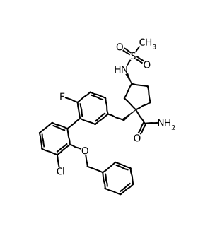 CS(=O)(=O)N[C@H]1CC[C@](Cc2ccc(F)c(-c3cccc(Cl)c3OCc3ccccc3)c2)(C(N)=O)C1